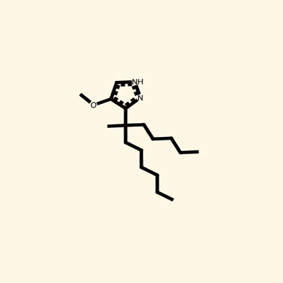 CCCCCCC(C)(CCCCC)c1n[nH]cc1OC